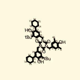 Cc1cc(Cn2c(=O)n(Cc3cc(C4CCCCC4)c(O)c(C(C)(C)C)c3)c(=O)n(Cc3cc(C4CCCCC4)c(O)c(C(C)(C)C)c3)c2=O)cc(C)c1O